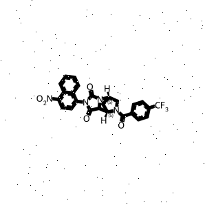 O=C1C2[C@@H]3C[C@@H](CN3C(=O)c3ccc(C(F)(F)F)cc3)N2C(=O)N1c1ccc([N+](=O)[O-])c2ccccc12